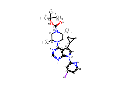 C[C@@H]1CN(c2ncnc3c2c(C2CC2)cn3-c2cc(I)ccn2)[C@@H](C)CN1C(=O)OC(C)(C)C